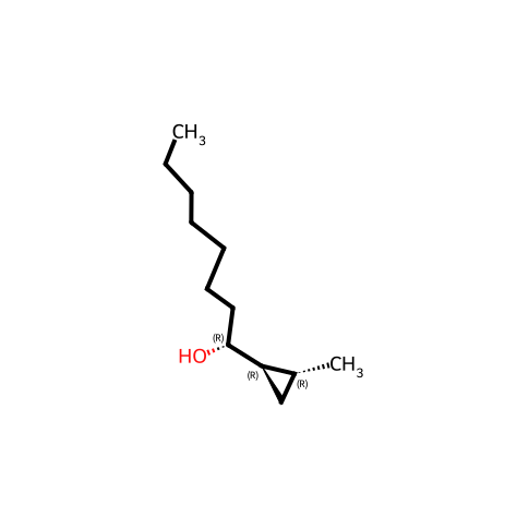 CCCCCCC[C@@H](O)[C@@H]1C[C@H]1C